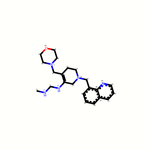 CNCNC1=C(CN2CCOCC2)CCN(Cc2cccc3cccnc23)C1